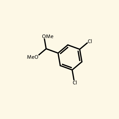 COC(OC)c1cc(Cl)cc(Cl)c1